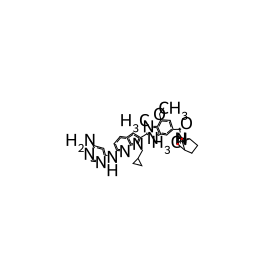 COc1cc(C(=O)N2CC3CCC2[C@@H]3C)cc2nc(-c3cc4ccc(Nc5cc(N)ncn5)nc4n3CC3CC3)n(C)c12